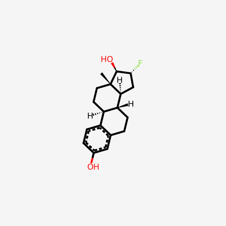 C[C@]12CC[C@@H]3c4ccc(O)cc4CC[C@H]3[C@@H]1C[C@@H](F)[C@@H]2O